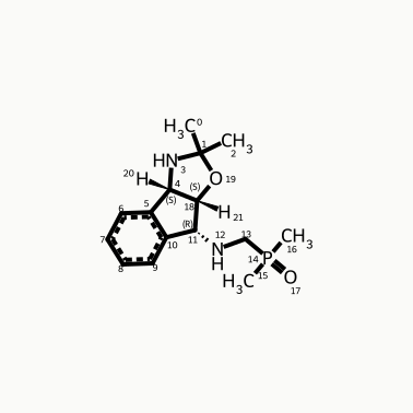 CC1(C)N[C@H]2c3ccccc3[C@@H](NCP(C)(C)=O)[C@H]2O1